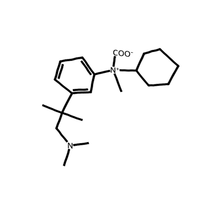 CN(C)CC(C)(C)c1cccc([N+](C)(C(=O)[O-])C2CCCCC2)c1